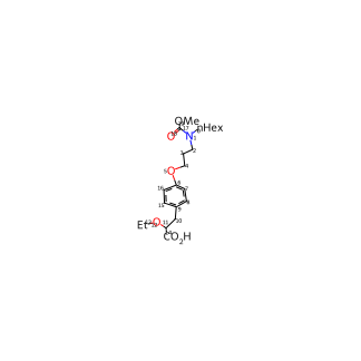 CCCCCCN(CCCOc1ccc(CC(OCC)C(=O)O)cc1)C(=O)OC